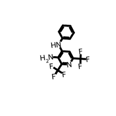 Nc1c(Nc2ccccc2)cc(C(F)(F)F)nc1C(F)(F)F